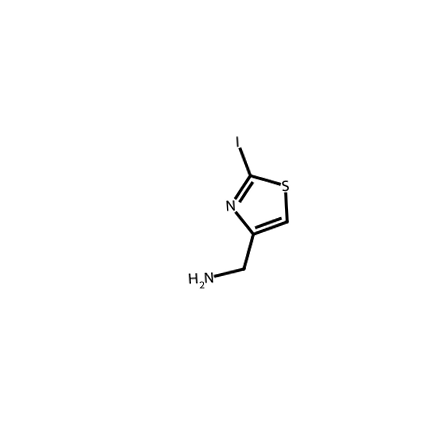 NCc1csc(I)n1